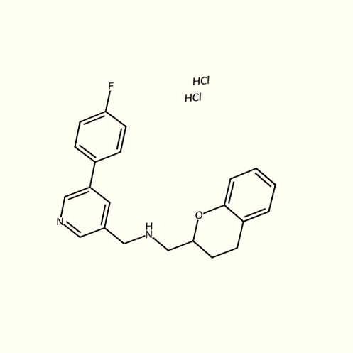 Cl.Cl.Fc1ccc(-c2cncc(CNCC3CCc4ccccc4O3)c2)cc1